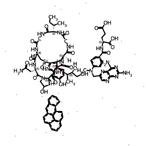 CCC(C)[C@@H]1NC(=O)CNC(=O)[C@@H]2Cc3c([nH]c4cc(O)ccc34)[S@+]([O-])C[C@H](NC(=O)CNC1=O)C(=O)N[C@@H](CC(N)=O)C(=O)N1CC(O)C[C@H]1C(=O)N[C@@H](C(C)[C@@H](O)CO)C(=O)N2.CN(Cc1cnc2nc(N)nc(N)c2n1)c1ccc(C(=O)N[C@@H](CCC(=O)O)C(=O)O)cc1.c1ccc2c(c1)cc1ccc3cccc4ccc2c1c34